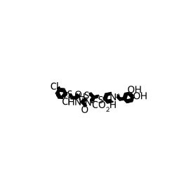 O=C(CSc1cc(Cl)ccc1Cl)N[C@H]1C(=O)N2C(C(=O)O)=C(CSc3cc[n+](CCc4ccc(O)c(O)c4)cc3)CS[C@H]12